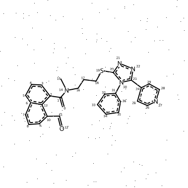 C=C(c1cccc2cccc(C=O)c12)N(C)CCCSc1nnc(-c2ccncc2)n1-c1ccccc1